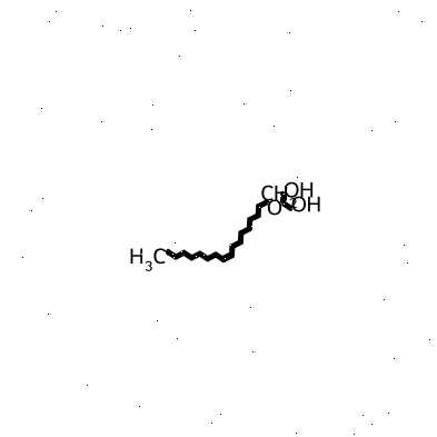 C=C(CCCCCCC/C=C\CCCCCCCC)OC(CO)CO